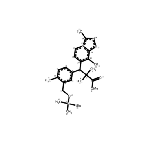 COC(=O)C(C)(C)C(c1ccc(C)c(CO[Si](C)(C)C(C)(C)C)c1)c1ccn2c(C(F)(F)F)nnc2c1C